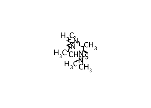 CCN(CCC(C)c1csc(N(CC)CC)n1)c1nc(C(C)C)cs1